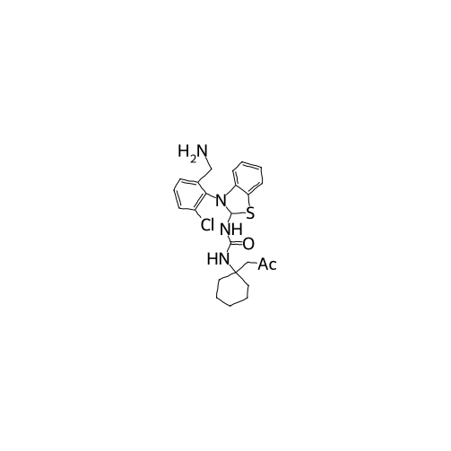 CC(=O)CC1(NC(=O)NC2Sc3ccccc3N2c2c(Cl)cccc2CN)CCCCC1